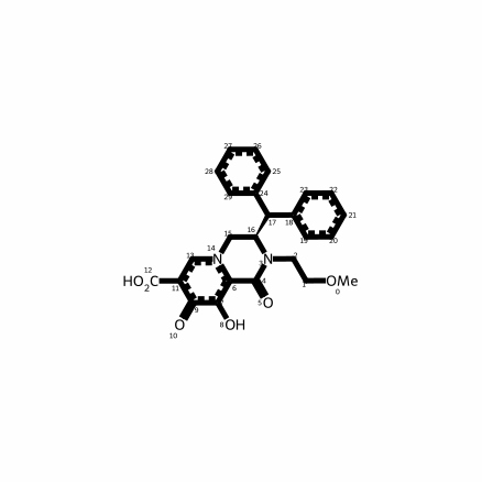 COCCN1C(=O)c2c(O)c(=O)c(C(=O)O)cn2C[C@H]1C(c1ccccc1)c1ccccc1